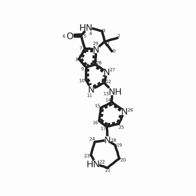 CC1(C)CNC(=O)c2cc3cnc(Nc4ccc(N5CCCNCC5)cn4)nc3n21